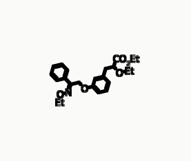 CCON=C(COc1cccc(CC(OCC)C(=O)OCC)c1)c1ccccc1